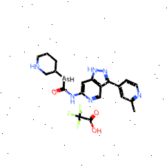 Cc1cc(-c2n[nH]c3cc(NC(=O)[AsH]C4CCCNC4)ncc23)ccn1.O=C(O)C(F)(F)F